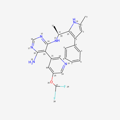 Cc1cc(-c2ccccc2)c([C@H](C)Nc2ncnc(N)c2-c2cncc(OC(F)F)c2)[nH]1